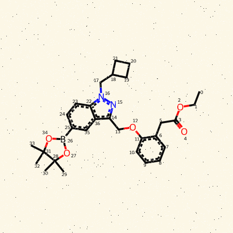 CCOC(=O)Cc1ccccc1OCc1nn(CC2CCC2)c2ccc(B3OC(C)(C)C(C)(C)O3)cc12